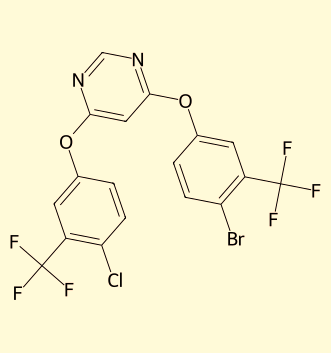 FC(F)(F)c1cc(Oc2cc(Oc3ccc(Br)c(C(F)(F)F)c3)ncn2)ccc1Cl